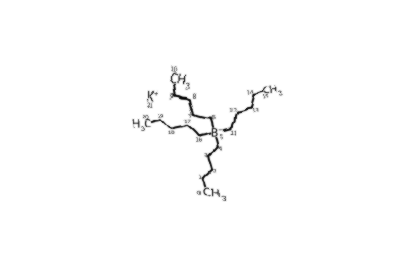 CCCCC[B-](CCCCC)(CCCCC)CCCCC.[K+]